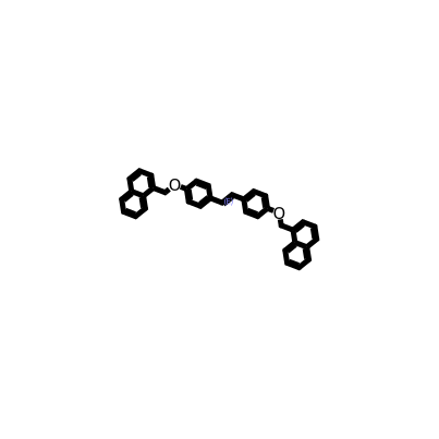 C(=C\c1ccc(OCc2cccc3ccccc23)cc1)/c1ccc(OCc2cccc3ccccc23)cc1